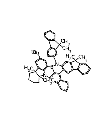 CC(C)(C)c1cc2c3c(c1)C1(C)CCCCC1(C)N3c1cc3ccccc3c3c1B2N(c1ccc2c(c1)C(C)(C)c1ccccc1-2)c1cc2c(cc1-3)-c1ccccc1C2(C)C